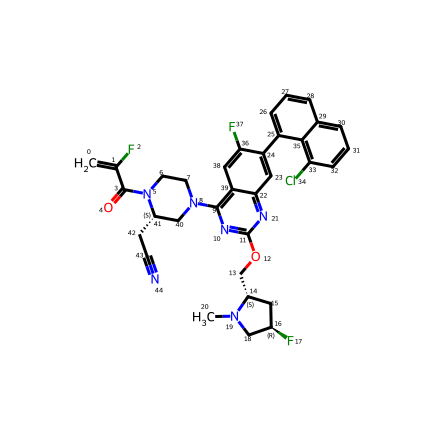 C=C(F)C(=O)N1CCN(c2nc(OC[C@@H]3C[C@@H](F)CN3C)nc3cc(-c4cccc5cccc(Cl)c45)c(F)cc23)C[C@@H]1CC#N